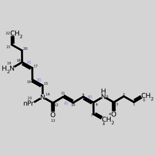 C=CCC(=O)N/C(C=C)=C/C=C/C(=O)N(/C=C/C=C(\N)CC=C)CCC